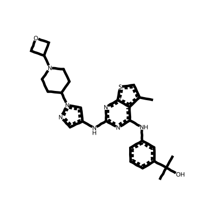 Cc1csc2nc(Nc3cnn(C4CCN(C5COC5)CC4)c3)nc(Nc3cccc(C(C)(C)O)c3)c12